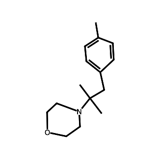 Cc1ccc(CC(C)(C)N2CCOCC2)cc1